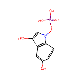 O=P(O)(O)On1cc(O)c2cc(O)ccc21